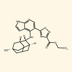 CCOC(=O)c1noc(-c2cnc3[nH]ccc3c2N[C@H]2[C@@H]3CC4C[C@H]2C[C@@](O)(C4)C3)n1